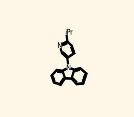 CC(C)c1ccc(-n2c3ccccc3c3ccccc32)cn1